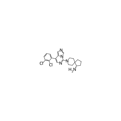 N[C@@H]1CCCC12CCN(c1ncc(-c3cccc(Cl)c3Cl)c3cncn13)CC2